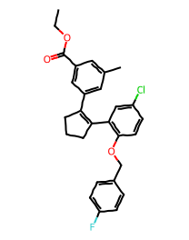 CCOC(=O)c1cc(C)cc(C2=C(c3cc(Cl)ccc3OCc3ccc(F)cc3)CCC2)c1